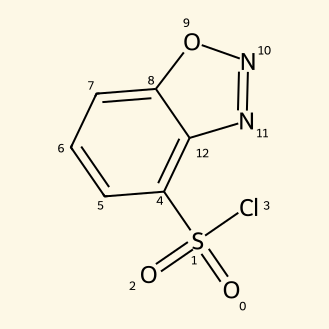 O=S(=O)(Cl)c1cccc2onnc12